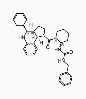 O=C(NCc1ccccc1)N[C@@H]1CCCC[C@@H]1C(=O)N1CC[C@@H]2[C@H](C3C=CC=CC3)Nc3ccccc3[C@@H]21